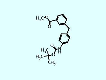 COC(=O)c1cccc(Cc2ccc(NC(=O)OC(C)(C)C)cc2)c1